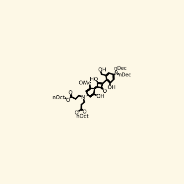 CCCCCCCCCCN(CCCCCCCCCC)c1cc(O)c(C2=C(O)/C(=C3/C(O)=CC(=[N+](CCC(=O)OCCCCCCCC)CCC(=O)OCCCCCCCC)C=C3OC)C2=O)c(CO)c1